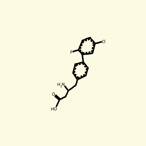 NC(CC(=O)O)Cc1ccc(-c2cc(Cl)ccc2F)cc1